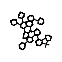 CC1(C)c2ccccc2-c2c(-c3cccc(N(c4ccc5cccc(-c6ccccc6)c5c4)c4ccccc4-c4ccc(-c5ccccc5)c(-c5ccccc5)c4)c3-c3ccc(-c4ccccc4)cc3)cccc21